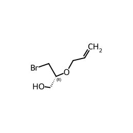 C=CCO[C@H](CO)CBr